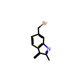 C=C1C(C)=Nc2cc(CBr)ccc21